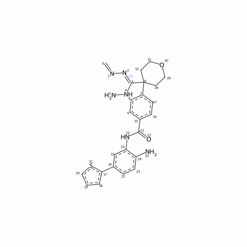 C=N/N=C(\NN)C1(c2ccc(C(=O)Nc3cc(-c4cccs4)ccc3N)cc2)CCOCC1